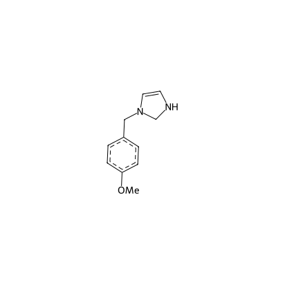 COc1ccc(CN2C=CNC2)cc1